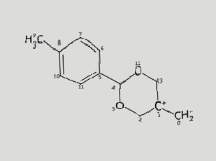 [CH2-][C+]1COC(c2ccc(C)cc2)OC1